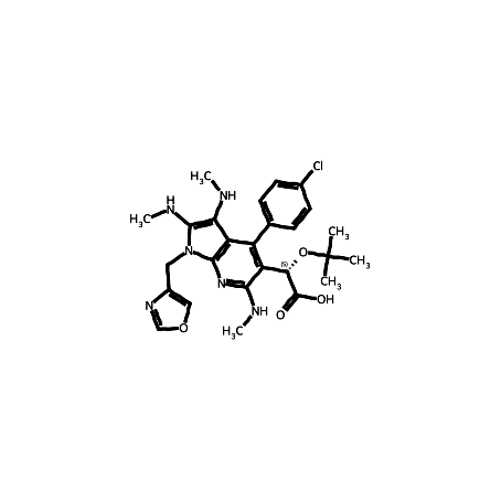 CNc1nc2c(c(NC)c(NC)n2Cc2cocn2)c(-c2ccc(Cl)cc2)c1[C@H](OC(C)(C)C)C(=O)O